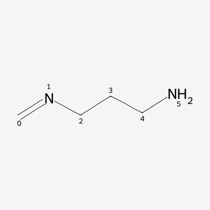 C=NCCCN